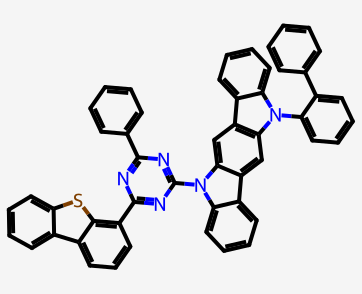 c1ccc(-c2nc(-c3cccc4c3sc3ccccc34)nc(-n3c4ccccc4c4cc5c(cc43)c3ccccc3n5-c3ccccc3-c3ccccc3)n2)cc1